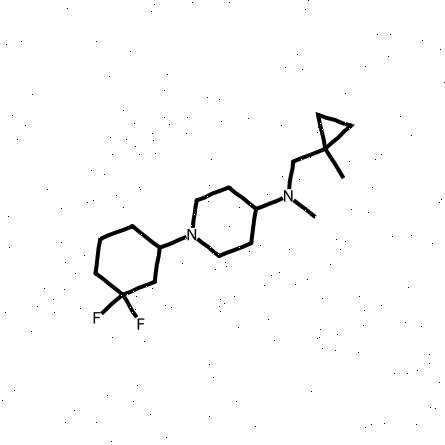 CN(CC1(C)CC1)C1CCN(C2CCCC(F)(F)C2)CC1